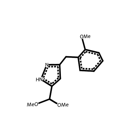 COc1ccccc1Cc1cc(C(OC)OC)[nH]n1